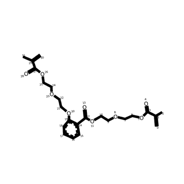 C=C(C)C(=O)OCCOCCOC(=O)c1ccccc1OCCOCCOC(=O)C(=C)C